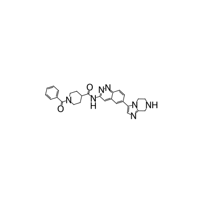 O=C(Nc1cc2cc(-c3cnc4n3CCNC4)ccc2nn1)C1CCN(C(=O)c2ccccc2)CC1